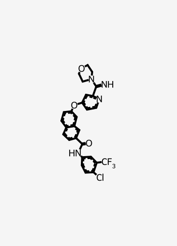 N=C(c1cc(Oc2ccc3ccc(C(=O)Nc4ccc(Cl)c(C(F)(F)F)c4)cc3c2)ccn1)N1CCOCC1